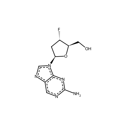 Nc1ncc2ncn([C@H]3C[C@H](F)[C@@H](CO)O3)c2n1